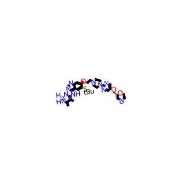 CC(=N)/C(C)=C(\N)Nc1ncnc2cc(OCCN3CCN(c4ncc(OC[C@H]5CN(C)CCO5)cn4)CC3)c(SC(C)(C)C)cc12